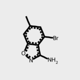 Cc1cc(Br)c2c(N)noc2c1